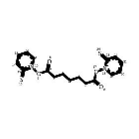 O=C(CCCCCC(=O)On1ccccc1=S)On1ccccc1=S